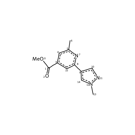 COC(=O)c1cc(C)nc(-c2cnn(C)c2)c1